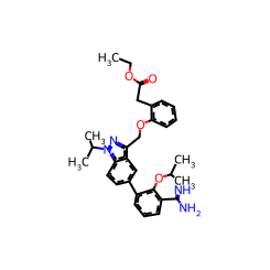 CCOC(=O)Cc1ccccc1OCc1nn(C(C)C)c2ccc(-c3cccc(C(=N)N)c3OC(C)C)cc12